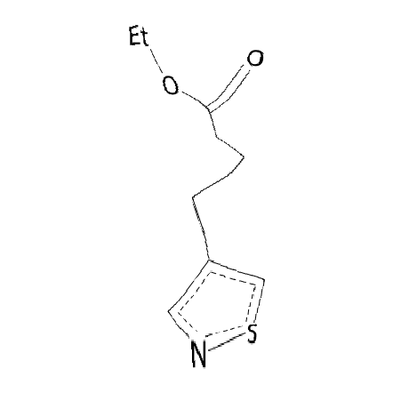 CCOC(=O)CCc1cnsc1